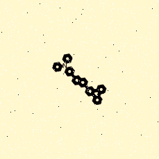 c1ccc(N(c2ccccc2)c2ccc(-c3ccc4cc(-c5ccc6c7ccccc7c7ccccc7c6c5)ccc4c3)cc2)cc1